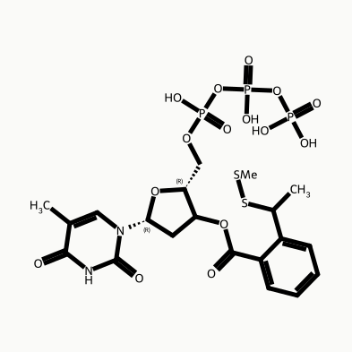 CSSC(C)c1ccccc1C(=O)OC1C[C@H](n2cc(C)c(=O)[nH]c2=O)O[C@@H]1COP(=O)(O)OP(=O)(O)OP(=O)(O)O